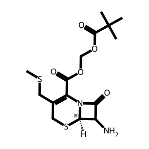 CSCC1=C(C(=O)OCOC(=O)C(C)(C)C)N2C(=O)C(N)[C@H]2SC1